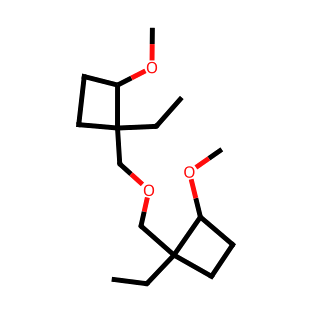 CCC1(COCC2(CC)CCC2OC)CCC1OC